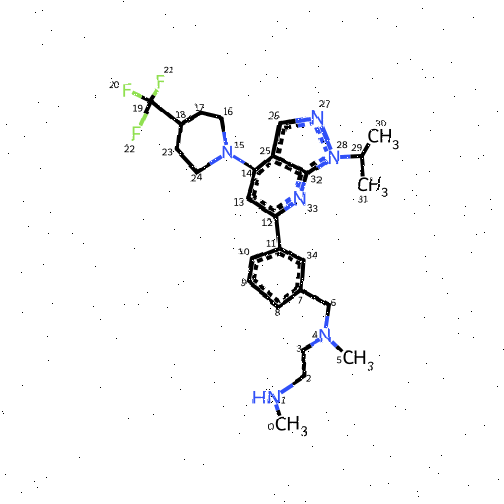 CNCCN(C)Cc1cccc(-c2cc(N3CCC(C(F)(F)F)CC3)c3cnn(C(C)C)c3n2)c1